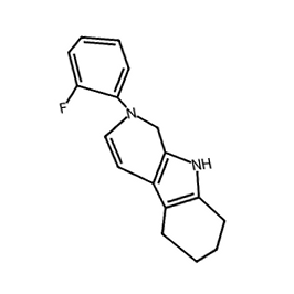 Fc1ccccc1N1C=Cc2c([nH]c3c2CCCC3)C1